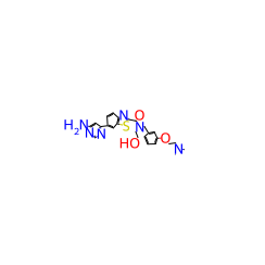 CN(C)CCOc1cccc(CN(CCO)C(=O)c2nc3ccc(-c4cc(N)ncn4)cc3s2)c1